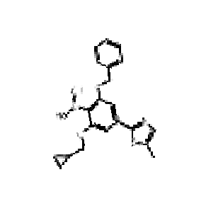 Cc1cnc(-c2cc(OCc3ccccc3)c(B(O)O)c(OCC3CC3)c2)o1